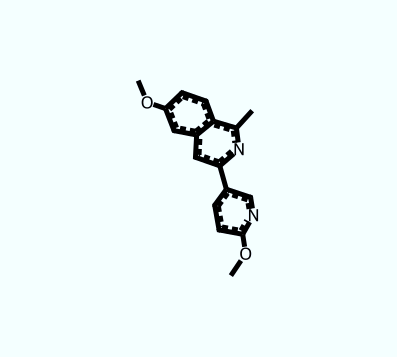 COc1ccc2c(C)nc(-c3ccc(OC)nc3)cc2c1